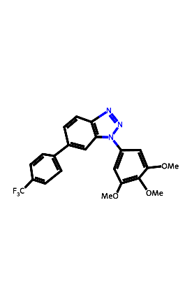 COc1cc(-n2nnc3ccc(-c4ccc(C(F)(F)F)cc4)cc32)cc(OC)c1OC